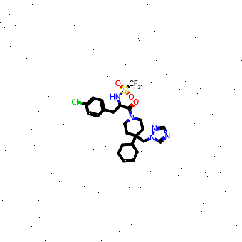 O=C(C(Cc1ccc(Cl)cc1)NS(=O)(=O)C(F)(F)F)N1CCC(Cn2cncn2)(C2CCCCC2)CC1